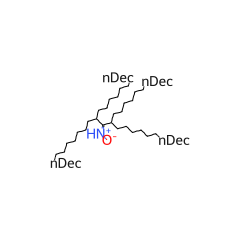 CCCCCCCCCCCCCCCCCC(CCCCCCCCCCCCCCCC)C(=[NH+][O-])C(CCCCCCCCCCCCCCCC)CCCCCCCCCCCCCCCC